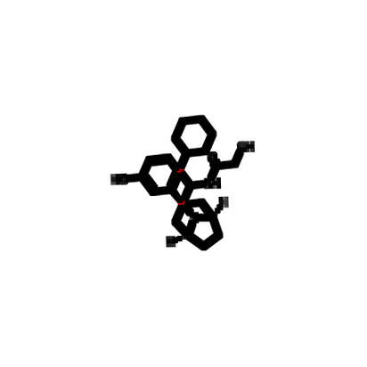 O=C(CO)NC(CC1CCCCC1)CN1[C@@H]2CC[C@H]1C[C@@H](c1cccc(O)c1)C2